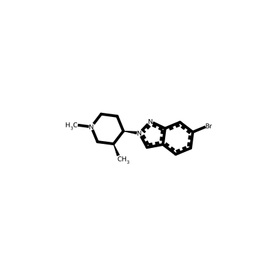 C[C@H]1CN(C)CC[C@H]1n1cc2ccc(Br)cc2n1